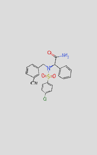 N#Cc1cccc(CN([C@@H](C(N)=O)c2ccccc2)S(=O)(=O)c2ccc(Cl)cc2)c1